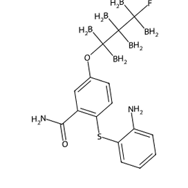 BC(B)(F)C(B)(B)C(B)(B)Oc1ccc(Sc2ccccc2N)c(C(N)=O)c1